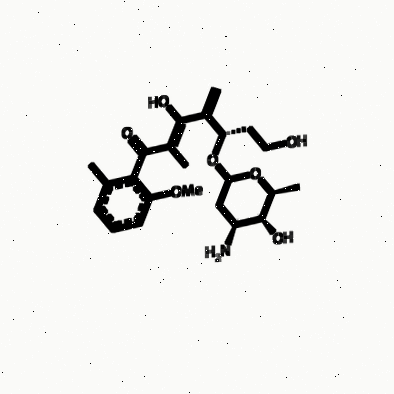 C=C(/C(O)=C(\C)C(=O)c1c(C)cccc1OC)[C@H](CCO)OC1C[C@H](N)[C@H](O)[C@H](C)O1